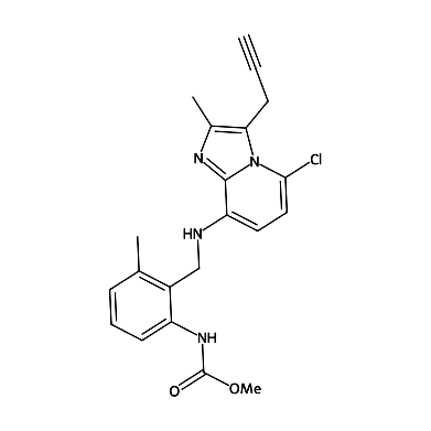 C#CCc1c(C)nc2c(NCc3c(C)cccc3NC(=O)OC)ccc(Cl)n12